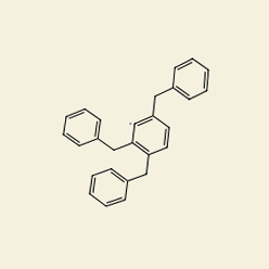 [c]1c(Cc2ccccc2)ccc(Cc2ccccc2)c1Cc1ccccc1